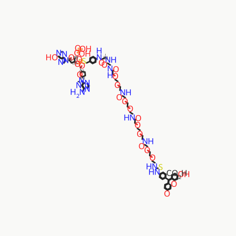 C[C@H](NC(=O)CNC(=O)COCCOCCNC(=O)COCCOCCNC(=O)COCCOCCNC(=O)COCCOCCNC(=S)Nc1ccc(-c2c3ccc(=O)cc-3oc3cc(O)ccc23)c(C(=O)O)c1)C(=O)Nc1ccc(CSP(=O)(OC[C@@H]2CC[C@H](n3cnc4c(N)ncnc43)O2)O[C@H]2C[C@H](n3cnc4c(O)ncnc43)O[C@@H]2COP(=O)(O)O)cc1